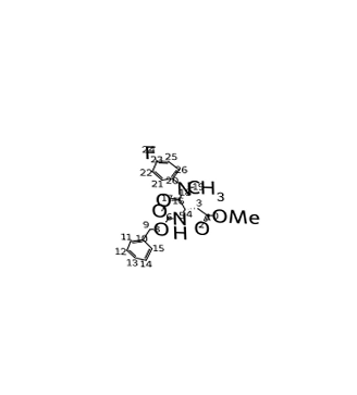 COC(=O)C[C@H](NC(=O)OCc1ccccc1)C(=O)N(C)c1ccc(F)cc1